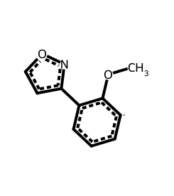 COc1[c]cccc1-c1ccon1